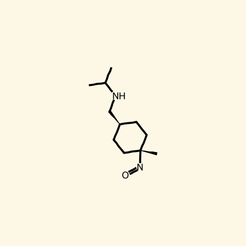 CC(C)NC[C@H]1CC[C@](C)(N=O)CC1